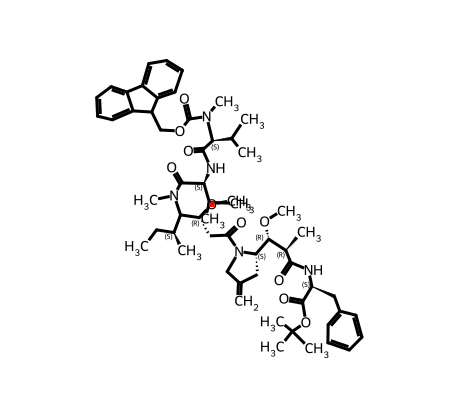 C=C1C[C@@H]([C@H](OC)[C@@H](C)C(=O)N[C@@H](Cc2ccccc2)C(=O)OC(C)(C)C)N(C(=O)C[C@@H](OC)C([C@@H](C)CC)N(C)C(=O)[C@@H](NC(=O)[C@H](C(C)C)N(C)C(=O)OCC2c3ccccc3-c3ccccc32)C(C)C)C1